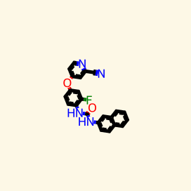 N#Cc1cc(Oc2ccc(NC(=O)Nc3ccc4ccccc4c3)c(F)c2)ccn1